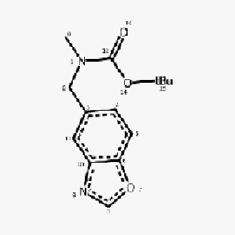 CN(Cc1ccc2ocnc2c1)C(=O)OC(C)(C)C